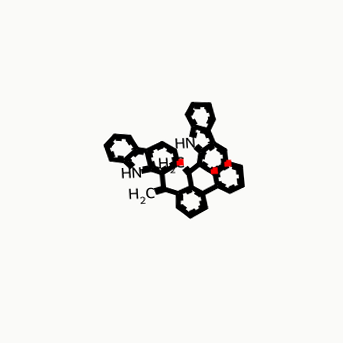 C=C(c1cccc(-c2ccccc2)c1C(=C)c1cccc2c1[nH]c1ccccc12)c1cccc2c1[nH]c1ccccc12